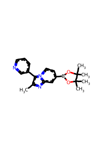 Cc1nc2cc(B3OC(C)(C)C(C)(C)O3)ccn2c1-c1cccnc1